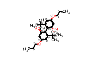 CCCOc1cc(O)c(-c2c(O)cc(OCCC)cc2C(C)(C)C)c(C(C)(C)C)c1